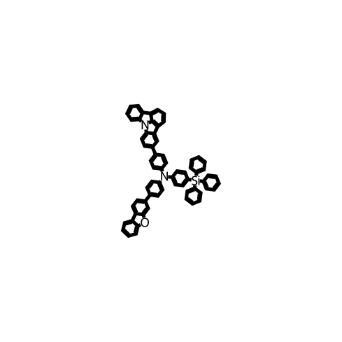 c1ccc([Si](c2ccccc2)(c2ccccc2)c2ccc(N(c3ccc(-c4ccc5c(c4)oc4ccccc45)cc3)c3ccc(-c4ccc5c(c4)c4cccc6c7ccccc7n5c64)cc3)cc2)cc1